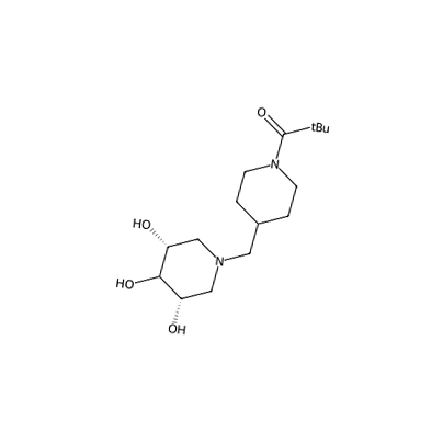 CC(C)(C)C(=O)N1CCC(CN2C[C@@H](O)C(O)[C@@H](O)C2)CC1